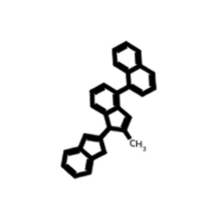 CC1=Cc2c(-c3cccc4ccccc34)cccc2C1C1=Cc2ccccc2[CH]1